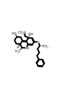 C[C@H](CCCc1ccccc1)OC1=C[C@](O)(CC(=O)O)C2=C3C[C@H](O)CC[C@H]3[C@H](C)NC2=C1